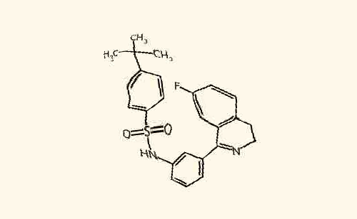 CC(C)(C)c1ccc(S(=O)(=O)Nc2cccc(C3=NCCc4ccc(F)cc43)c2)cc1